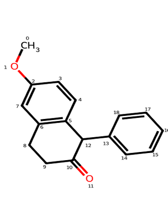 COc1ccc2c(c1)CCC(=O)C2c1ccccc1